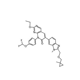 CCOc1ncc2cc(-c3ccc4nc(COCC5(C)CC5)n(C)c4c3)c(=O)n(-c3ccc(OC(F)F)cc3)c2n1